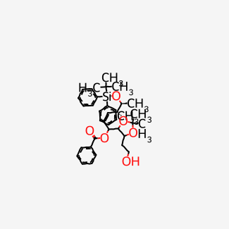 C[C@H](/C=C\C(OC(=O)c1ccccc1)C1OC(C)(C)OC1CCO)[C@H](C)O[Si](c1ccccc1)(c1ccccc1)C(C)(C)C